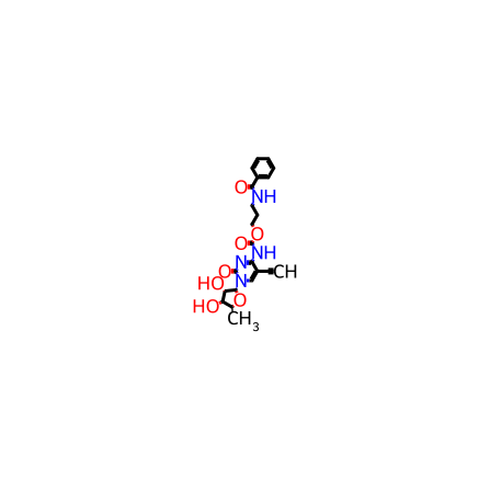 C#Cc1cn([C@@H]2O[C@H](C)C(O)C2O)c(=O)nc1NC(=O)OCCCNC(=O)c1ccccc1